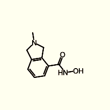 CN1Cc2cccc(C(=O)NO)c2C1